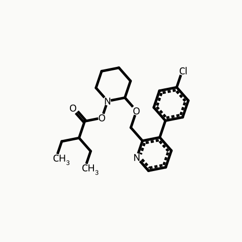 CCC(CC)C(=O)ON1CCCCC1OCc1ncccc1-c1ccc(Cl)cc1